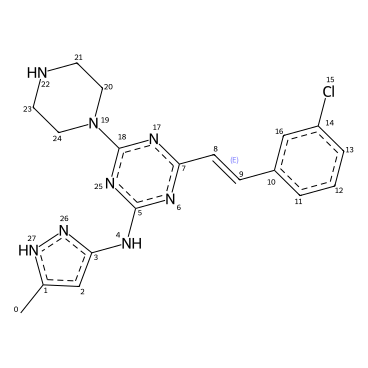 Cc1cc(Nc2nc(/C=C/c3cccc(Cl)c3)nc(N3CCNCC3)n2)n[nH]1